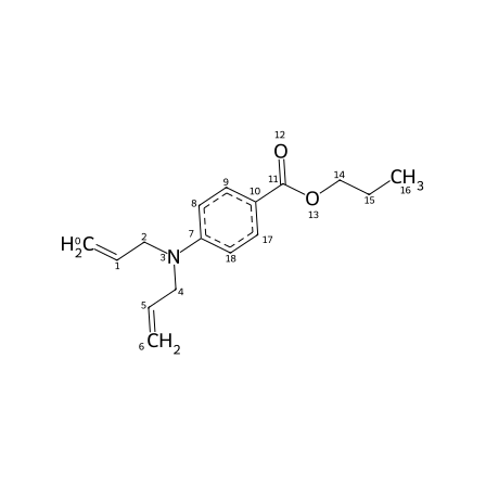 C=CCN(CC=C)c1ccc(C(=O)OCCC)cc1